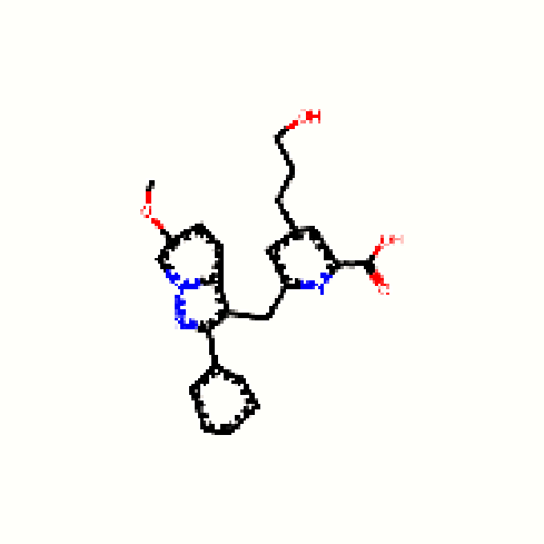 COc1ccc2c(Cc3cc(CCCO)cc(C(=O)O)n3)c(-c3ccccc3)nn2c1